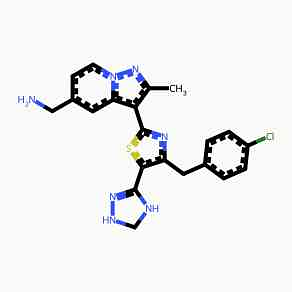 Cc1nn2ccc(CN)cc2c1-c1nc(Cc2ccc(Cl)cc2)c(C2=NNCN2)s1